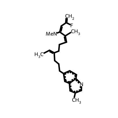 C=C(F)/C=C(NC)\C(C)=C/CC/C(=C/C)CCCc1ccc2ncc(C)cc2c1